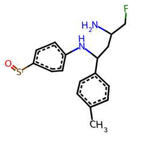 Cc1ccc(C(CC(N)CF)Nc2ccc([S]=O)cc2)cc1